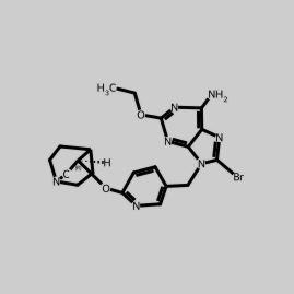 CCOc1nc(N)c2nc(Br)n(Cc3ccc(O[C@H]4CN5CCC4CC5)nc3)c2n1